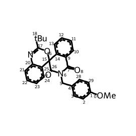 COc1ccc(CN2C(=O)c3ccccc3C3(OC(C(C)(C)C)=Nc4ccccc43)C2=O)cc1